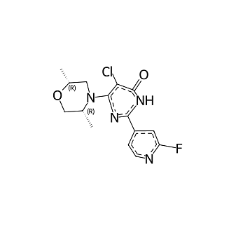 C[C@@H]1CN(c2nc(-c3ccnc(F)c3)[nH]c(=O)c2Cl)[C@H](C)CO1